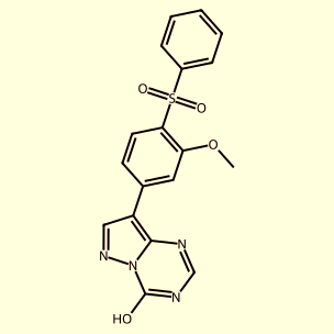 COc1cc(-c2cnn3c(O)ncnc23)ccc1S(=O)(=O)c1ccccc1